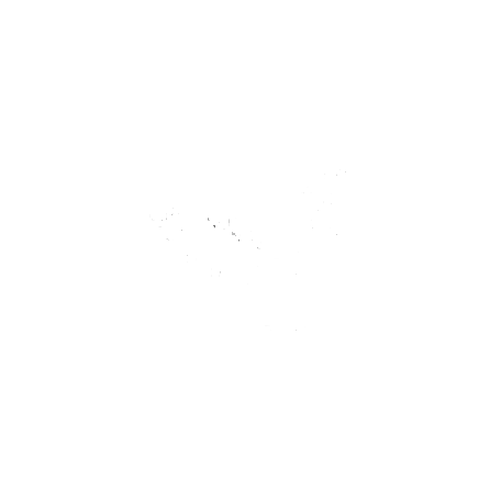 O.O.O.O=C(O)c1ccccc1.O=[N+]([O-])[O-].O=[N+]([O-])[O-].[Cu+2]